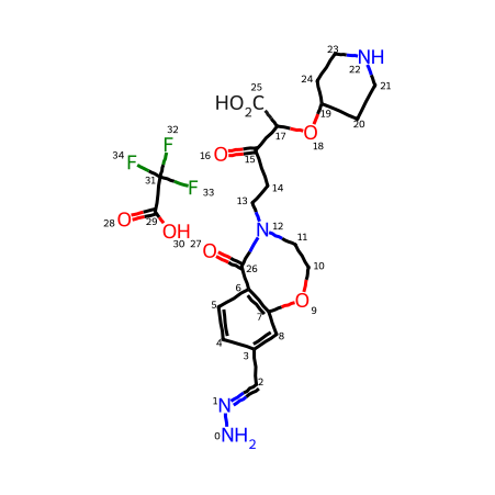 NN=Cc1ccc2c(c1)OCCN(CCC(=O)C(OC1CCNCC1)C(=O)O)C2=O.O=C(O)C(F)(F)F